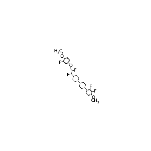 CCOc1ccc(OCC(F)C(F)C2CCC(C3CCC(c4ccc(OC)c(F)c4F)CC3)CC2)cc1F